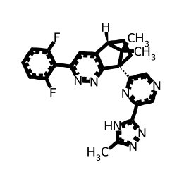 Cc1nnc(-c2cncc([C@]34CC[C@@H](c5cc(-c6c(F)cccc6F)nnc53)C4(C)C)n2)[nH]1